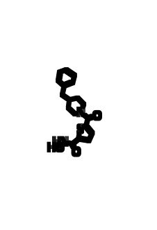 O=C(NO)c1ccc(C(=O)N2CCC(Cc3ccccc3)CC2)s1